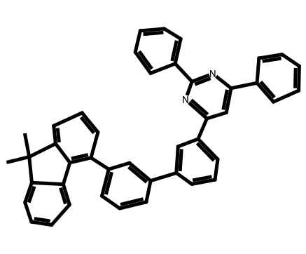 CC1(C)c2ccccc2-c2c(-c3cccc(-c4cccc(-c5cc(-c6ccccc6)nc(-c6ccccc6)n5)c4)c3)cccc21